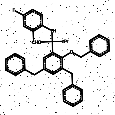 CCCC(C)(Pc1ccc(F)cc1C=O)c1cc(Cc2ccccc2)cc(Cc2ccccc2)c1OCc1ccccc1